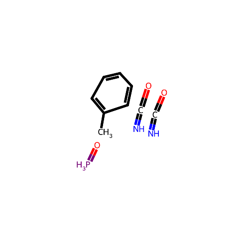 Cc1ccccc1.N=C=O.N=C=O.O=[PH3]